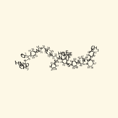 CNC(=O)CCC(C=O)c1ccc(N2CC(CN3CCN(CCC(CSc4ccccc4)Nc4ccc(Sc5ccc(N6CCN(CC7=C(c8ccc(C)cc8)CCCCC7)CC6)cc5)cc4[S+]([O-])C(F)(F)F)CC3)C2)cc1